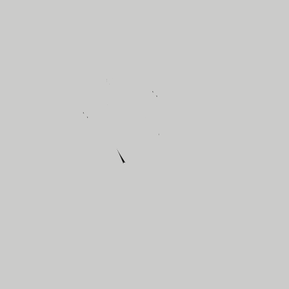 Cc1ccc([C@H]2CN(C)C(=O)[C@@H]2C(=O)Nc2ccccc2)cc1